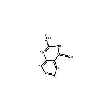 CC[C@@H](C)c1nc2ccccc2c(=O)[nH]1